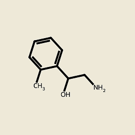 Cc1ccccc1C(O)CN